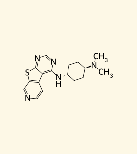 CN(C)[C@H]1CC[C@H](Nc2ncnc3sc4cnccc4c23)CC1